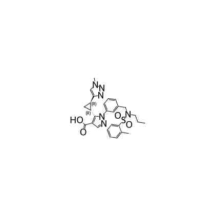 CCCN(Cc1cccc(-n2ncc(C(=O)O)c2[C@@H]2C[C@H]2c2cn(C)nn2)c1)S(=O)(=O)c1ccccc1C